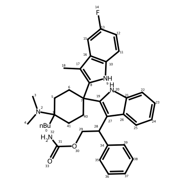 CCCCC1(N(C)C)CCC(c2[nH]c3ccc(F)cc3c2C)(c2[nH]c3ccccc3c2C(COC(N)=O)c2ccccc2)CC1